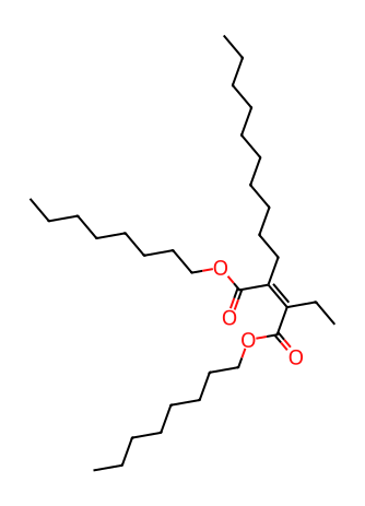 CCCCCCCCCC/C(C(=O)OCCCCCCCC)=C(\CC)C(=O)OCCCCCCCC